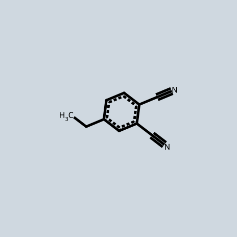 CCc1ccc(C#N)c(C#N)c1